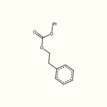 CC(C)OC(=O)OCCc1ccccc1